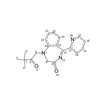 CC(C)(C)C(=O)CN1CC(=O)N=C(c2ccccn2)c2ccccc21